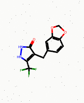 O=c1[nH][nH]c(C(F)(F)F)c1Cc1ccc2c(c1)OCO2